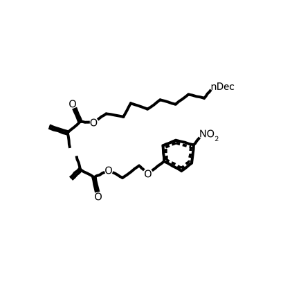 C=C(C)C(=O)OCCCCCCCCCCCCCCCCCC.C=C(C)C(=O)OCCOc1ccc([N+](=O)[O-])cc1